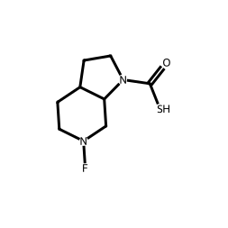 O=C(S)N1CCC2CCN(F)CC21